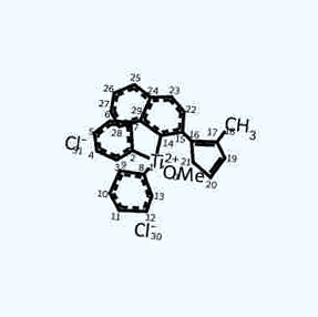 C[O][Ti+2]([c]1ccccc1)([c]1ccccc1)[c]1c(C2=C(C)C=CC2)ccc2ccccc12.[Cl-].[Cl-]